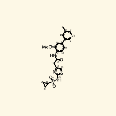 COc1cc(-c2cncc(C)c2)ccc1NC(=O)Cc1csc(NS(=O)(=O)C2CC2)n1